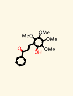 COc1c(O)c(/C=C/C(=O)c2ccccc2)c(OC)c(OC)c1OC